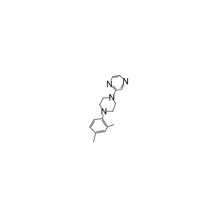 Cc1ccc(N2CCN(c3cnccn3)CC2)c(C)c1